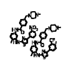 Cc1ccc(NC(=O)c2ccc(CN3CCN(C)CC3)cc2)cc1Nc1nc(-c2cccc(C(F)(F)F)c2)cs1.Cc1ccc(NC(=O)c2ccc(CN3CCN(C)CC3)cc2)cc1Nc1nc(-c2cccc([N+](=O)[O-])c2)cs1